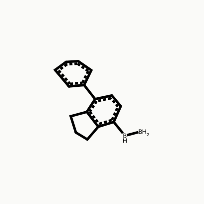 BBc1ccc(-c2ccccc2)c2c1CCC2